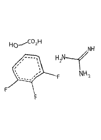 Fc1cccc(F)c1F.N=C(N)N.O=C(O)O